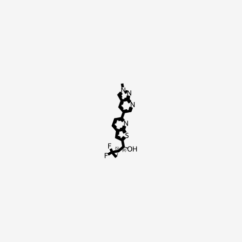 Cn1cc2cc(-c3ccc4cc([C@H](O)[C@@H]5CC5(F)F)sc4n3)cnc2n1